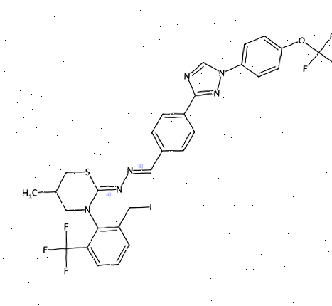 CC1CS/C(=N\N=C\c2ccc(-c3ncn(-c4ccc(OC(F)(F)F)cc4)n3)cc2)N(c2c(CI)cccc2C(F)(F)F)C1